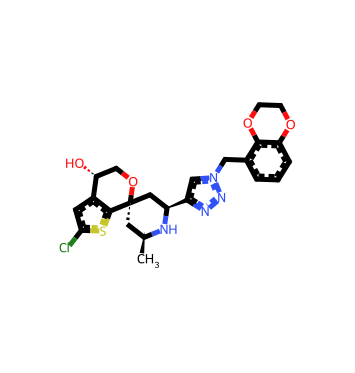 C[C@H]1C[C@@]2(C[C@@H](c3cn(Cc4cccc5c4OCCO5)nn3)N1)OC[C@@H](O)c1cc(Cl)sc12